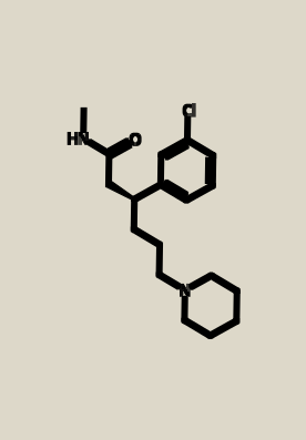 CNC(=O)C[C@H](CCCN1CCCCC1)c1cccc(Cl)c1